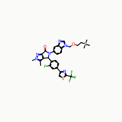 Cc1c2c(nn1C)C(=O)N(c1ccc3c(c1)ncn3COCC[Si](C)(C)C)C2c1ccc(-c2csc(C(F)(F)F)n2)cc1F